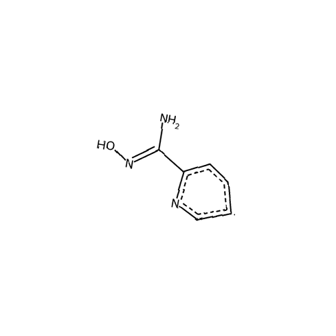 NC(=NO)c1cc[c]cn1